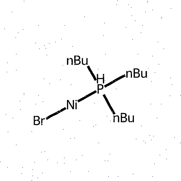 CCCC[PH](CCCC)(CCCC)[Ni][Br]